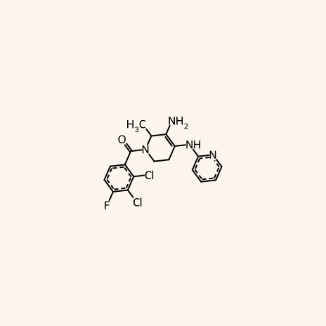 CC1C(N)=C(Nc2ccccn2)CCN1C(=O)c1ccc(F)c(Cl)c1Cl